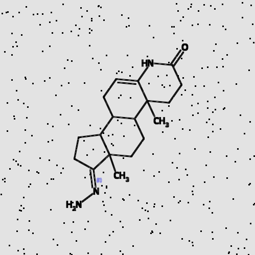 CC12CCC(=O)NC1=CCC1C2CCC2(C)/C(=N/N)CCC12